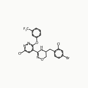 FC(F)(F)c1cccc(Oc2nnc(Cl)cc2C2=NOCC(Cc3ccc(Br)cc3Cl)N2)c1